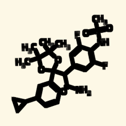 CC1(C)OC(c2cccc(C3CC3)c2)(C(C(N)=O)c2cc(F)c(NS(C)(=O)=O)c(F)c2)OC1(C)C